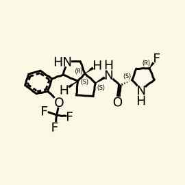 O=C(N[C@H]1CC[C@@H]2C(c3ccccc3OC(F)(F)F)NC[C@H]12)[C@@H]1C[C@@H](F)CN1